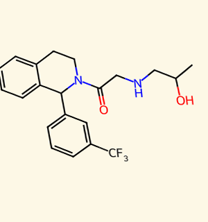 CC(O)CNCC(=O)N1CCc2ccccc2C1c1cccc(C(F)(F)F)c1